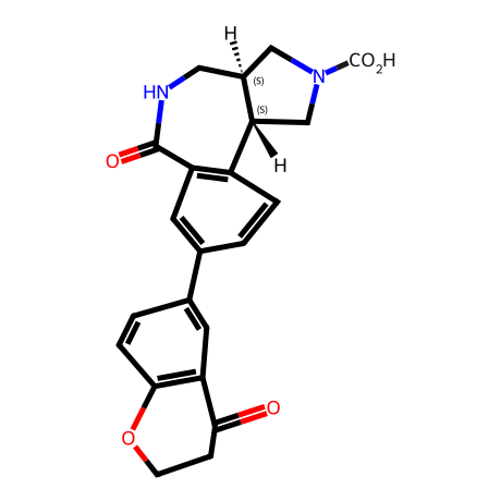 O=C1CCOc2ccc(-c3ccc4c(c3)C(=O)NC[C@H]3CN(C(=O)O)C[C@H]43)cc21